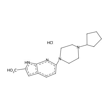 Cl.O=C(O)c1cc2ccc(N3CCN(C4CCCC4)CC3)nc2[nH]1